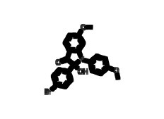 COc1ccc(N2c3cc(OC)ccc3C(=O)C2(O)c2ccc(Br)cc2)cc1